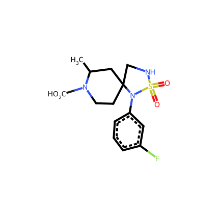 CC1CC2(CCN1C(=O)O)CNS(=O)(=O)N2c1cccc(F)c1